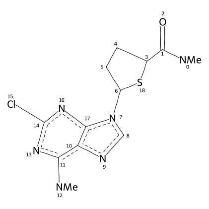 CNC(=O)C1CCC(n2cnc3c(NC)nc(Cl)nc32)S1